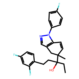 CCC(O)(CCc1ccc(F)cc1F)C1(C)C=Cc2c(cnn2-c2ccc(F)cc2)C1